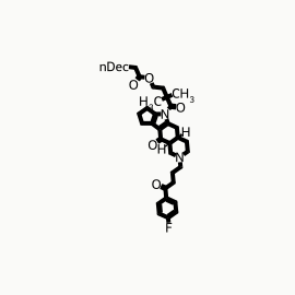 CCCCCCCCCCCC(=O)OCCC(C)(C)C(=O)n1c2c(c3c1C[C@@H]1CCN(CCCC(=O)c4ccc(F)cc4)C[C@H]1C3=O)CCC2